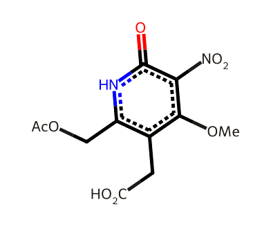 COc1c(CC(=O)O)c(COC(C)=O)[nH]c(=O)c1[N+](=O)[O-]